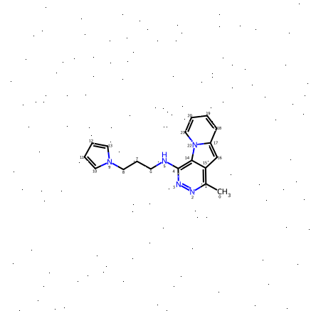 Cc1nnc(NCCCn2cccc2)c2c1cc1ccccn12